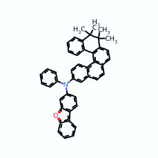 CC1(C)c2ccccc2-c2c(ccc3ccc4cc(N(c5ccccc5)c5ccc6c(c5)oc5ccccc56)ccc4c23)C1(C)C